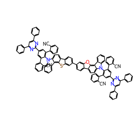 N#Cc1ccccc1-c1cc(-c2nc(-c3ccccc3)cc(-c3ccccc3)n2)cc(-c2ccccc2C#N)c1-n1c2ccccc2c2c3oc4cc(-c5ccc6c(c5)sc5c6ccc6c5c5ccccc5n6-c5c(-c6ccccc6C#N)cc(-c6nc(-c7ccccc7)cc(-c7ccccc7)n6)cc5-c5ccccc5C#N)ccc4c3ccc21